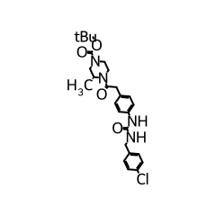 C[C@@H]1CN(C(=O)OC(C)(C)C)CCN1C(=O)Cc1ccc(NC(=O)NCc2ccc(Cl)cc2)cc1